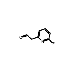 O=CCc1cccc(F)n1